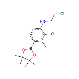 Cc1c(B2OC(C)(C)C(C)(C)O2)ccc(NCCCl)c1Cl